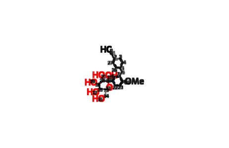 C#Cc1ccc(Cc2cc([C@]3(O)O[C@H](CO)[C@@H](O)[C@H](O)[C@H]3O)ccc2OC)cc1